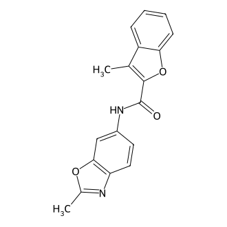 Cc1nc2ccc(NC(=O)c3oc4ccccc4c3C)cc2o1